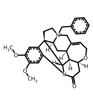 COc1cc2c(cc1OC)[C@@]13CC[N+]4(Cc5ccccc5)CC5=CCO[C@H]6CC(=O)N2[C@H]1[C@H]6[C@H]5C[C@@H]34